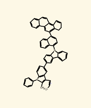 C/C=C\c1c(O)n(-c2ccccc2)c2ccc(-c3ccc4c(c3)c3ccccc3n4-c3ccc(-c4cc5c(ccc6ccccc65)c5c4CCC=C5)c4ccccc34)cc12